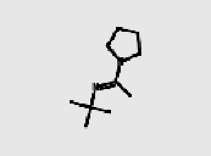 C/C(=N\C(C)(C)C)N1CCCC1